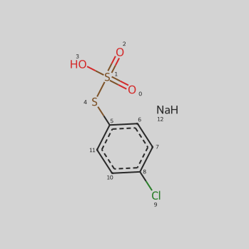 O=S(=O)(O)Sc1ccc(Cl)cc1.[NaH]